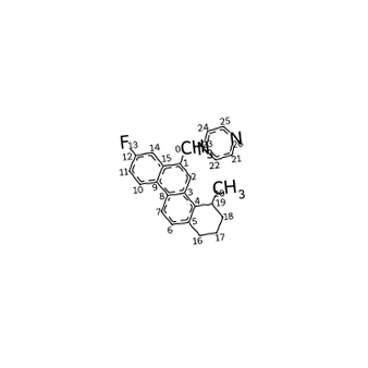 Cc1cc2c3c(ccc2c2ccc(F)cc12)CCCC3C.c1cnccn1